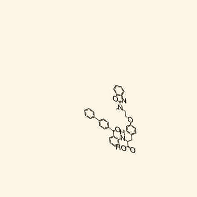 CN(CCOc1ccc(CC(Nc2ccccc2C(=O)c2ccc(-c3ccccc3)cc2)C(=O)O)cc1)c1nc2ccccc2o1